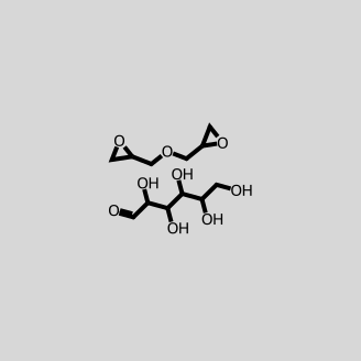 C(OCC1CO1)C1CO1.O=CC(O)C(O)C(O)C(O)CO